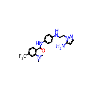 CN(C)c1cc(C(F)(F)F)ccc1C(=O)Nc1ccc(NCCn2nccc2N)cc1